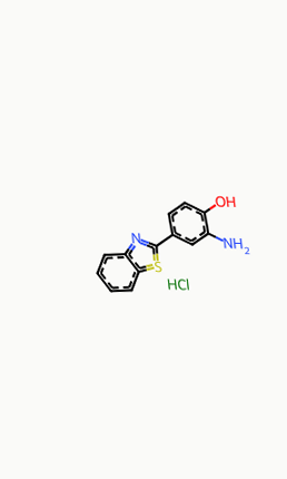 Cl.Nc1cc(-c2nc3ccccc3s2)ccc1O